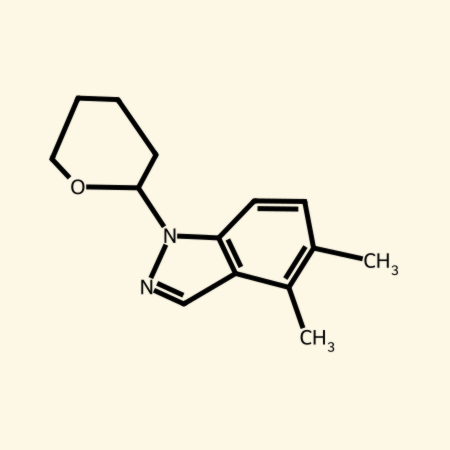 Cc1ccc2c(cnn2C2CCCCO2)c1C